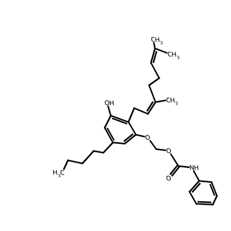 CCCCCc1cc(O)c(CC=C(C)CCC=C(C)C)c(OCOC(=O)Nc2ccccc2)c1